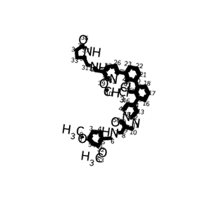 COc1ccc(CNCc2cnc3cc(-c4cccc(-c5cccc(-c6ccc(CNCC7CCC(=O)N7)c(OC)n6)c5Cl)c4Cl)ccn3c2=O)c(OC)c1